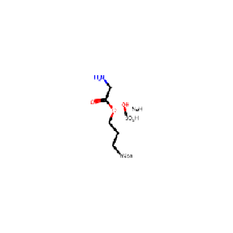 CCCCCCCCCCCCOC(=O)CN.O=S(=O)(O)O.[NaH]